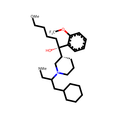 CNCC(CC1CCCCC1)N1CCC[C@@H]([C@@](O)(CCCCOC)c2ccccc2OC(F)(F)F)C1